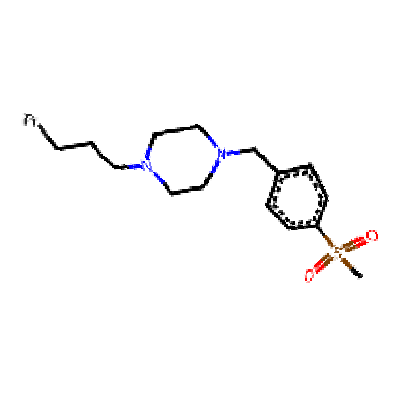 CC(C)CCCN1CCN(Cc2ccc(S(C)(=O)=O)cc2)CC1